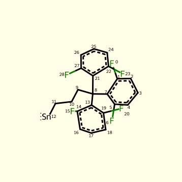 Fc1cccc(F)c1C(CC[CH2][Sn])(c1c(F)cccc1F)c1c(F)cccc1F